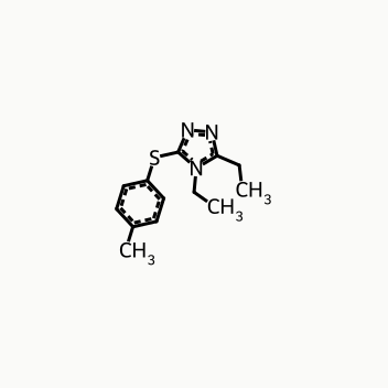 CCc1nnc(Sc2ccc(C)cc2)n1CC